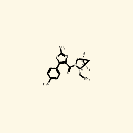 Cc1ccc(-c2sc(C)nc2C(=O)N2C[C@H]3C[C@H]3[C@H]2CN)cc1